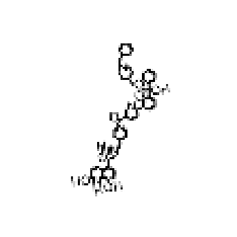 O=C(c1ccc(-c2cccc([C@](O)(C(=O)OCC3CCN(Cc4ccccc4)CC3)c3ccccc3)c2)nc1)N1CCC(CNC[C@H](O)c2ccc(O)c3c2C=CC(O)N3)CC1